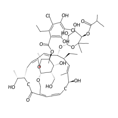 CCc1c(Cl)c(O)c(Cl)c(O)c1C(=O)O[C@H]1[C@H](O)[C@H](CO)[C@H](OC/C2=C\C=C\C[C@H](O)/C(C)=C/[C@H](CC)[C@@H](O[C@H]3OC(C)(C)[C@H](OC(=O)C(C)C)[C@@H](O)[C@H]3O)/C(C)=C/C(C)=C/C[C@@H]([C@@H](C)O)CC2=O)O[C@@H]1C